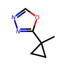 CC1(c2nnco2)CC1